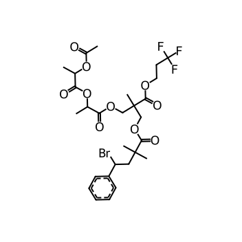 CC(=O)OC(C)C(=O)OC(C)C(=O)OCC(C)(COC(=O)C(C)(C)CC(Br)c1ccccc1)C(=O)OCCC(F)(F)F